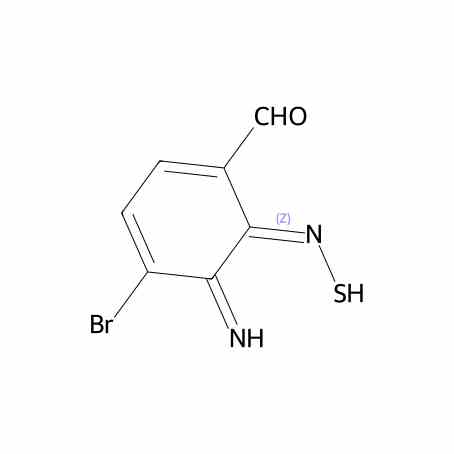 N=C1C(Br)=CC=C(C=O)/C1=N/S